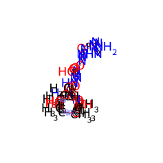 CO[C@H]1C[C@@H]2CC[C@@H](C)[C@@](O)(O2)C(=O)C(=O)N2CCCC[C@H]2C(=O)O[C@H]([C@H](N)C[C@@H]2CC[C@@H](OC(=O)NCc3cnc(N4CCN(C(=O)CCOCCN5CCN(c6ncc(C(=O)N7CCc8cc(Cn9nc(-c%10cnc%11[nH]ccc%11c%10)c%10c(N)ncnc%109)ccc8C7)cn6)CC5)[C@@H](C(=O)O)C4)nc3)[C@H](OC)C2)CC(=O)[C@H](C)/C=C(\C)[C@@H](O)[C@@H](O)C(=O)[C@H](C)C[C@H](C)/C=C/C=C/C=C/1C